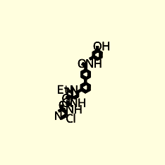 CCn1nc(-c2cccc(-c3ccc(C(=O)NCc4cccc(O)c4)cc3)c2)cc(NC(=O)Nc2c(Cl)cncc2Cl)c1=O